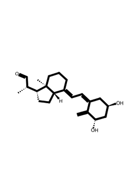 C=C1/C(=C\C=C2/CCC[C@]3(C)[C@@H]([C@H](C)C=O)CC[C@@H]23)C[C@@H](O)C[C@@H]1O